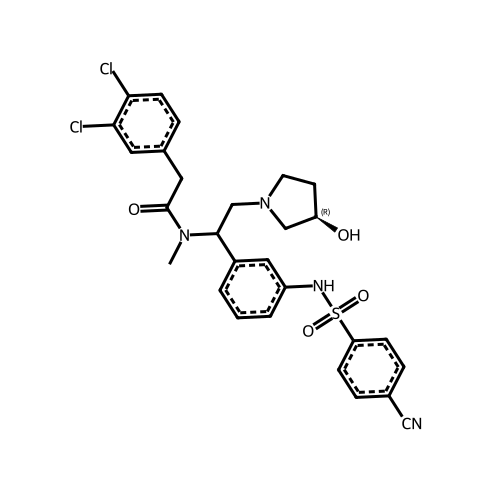 CN(C(=O)Cc1ccc(Cl)c(Cl)c1)C(CN1CC[C@@H](O)C1)c1cccc(NS(=O)(=O)c2ccc(C#N)cc2)c1